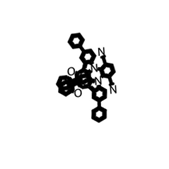 N#Cc1ccc(C#N)c(-n2c3ccc(-c4ccccc4)cc3c3c4oc5ccccc5c4ccc32)c1-n1c2ccc(-c3ccccc3)cc2c2c3oc4ccccc4c3ccc21